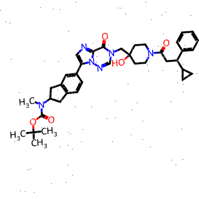 CN(C(=O)OC(C)(C)C)C1Cc2ccc(-c3cnc4c(=O)n(CC5(O)CCN(C(=O)CC(c6ccccc6)C6CC6)CC5)cnn34)cc2C1